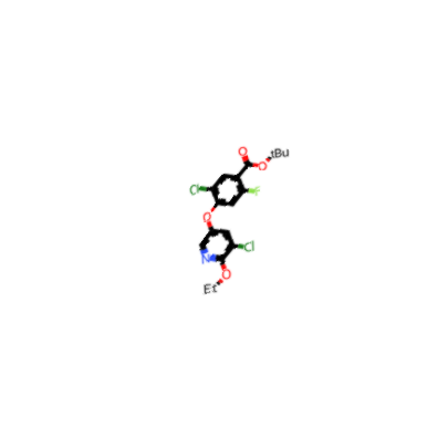 CCOc1ncc(Oc2cc(F)c(C(=O)OC(C)(C)C)cc2Cl)cc1Cl